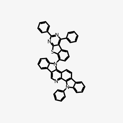 c1ccc(-c2nc(-c3ccccc3)c3c(n2)sc2c(-n4c5ccccc5c5cnc6c(ccc7c8ccccc8n(-c8ccccc8)c76)c54)cccc23)cc1